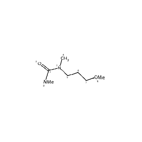 CNC(=O)N(C)CCCOC